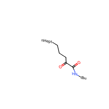 CCCCCCCCCCC(=O)C(=O)NC(C)(C)C